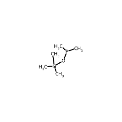 CP(C)O[Si](C)(C)C